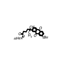 CCCCCCOC(=O)CCCC(C)(C)c1ccc2c(c1)C(=O)c1cc(C(C)(C)C)ccc1C2=O